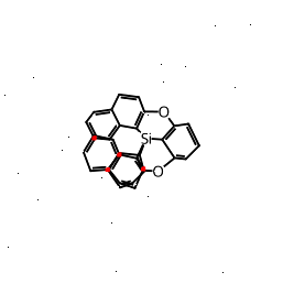 c1ccc([Si]23c4c(cccc4Oc4ccc5ccccc5c42)Oc2ccc4ccccc4c23)cc1